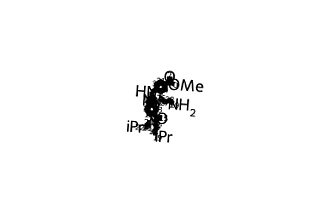 COC(=O)c1ccc(Nc2nc3ccc(C(=O)N(CCC(C)C)CCC(C)C)cc3n2CCCN)cc1